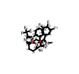 Cn1nc2c(c1-c1cc(F)c(F)c(F)c1)C[C@@H]1CCC[C@H]2N1C(=O)c1ccccc1-n1ncnc1C(F)(F)F